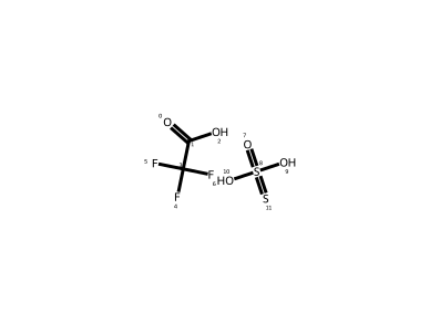 O=C(O)C(F)(F)F.O=S(O)(O)=S